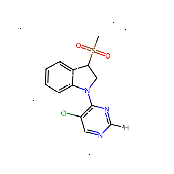 [2H]c1ncc(Cl)c(N2CC(S(C)(=O)=O)c3ccccc32)n1